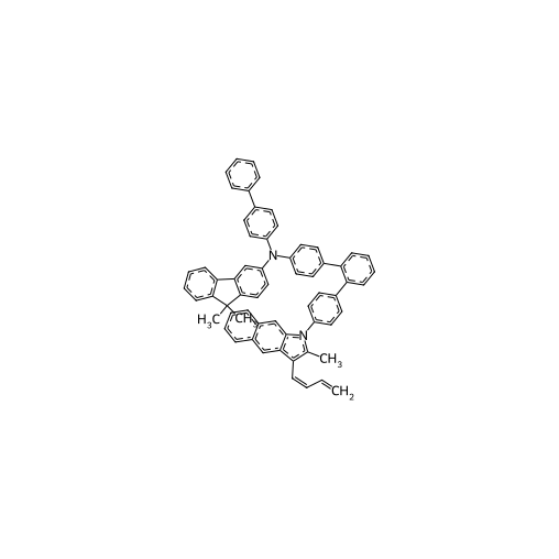 C=C/C=C\c1c(C)n(-c2ccc(-c3ccccc3-c3ccc(N(c4ccc(-c5ccccc5)cc4)c4ccc5c(c4)-c4ccccc4C5(C)C)cc3)cc2)c2cc3ccccc3cc12